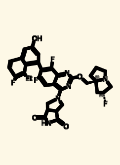 CCc1c(F)ccc2cc(O)cc(-c3c(F)cc4c(N5CC6C(=O)NC(=O)C6C5)nc(OC[C@@]56CCCN5C[C@H](F)C6)nc4c3F)c12